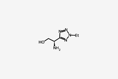 CCn1nnc([C@@H](N)CO)n1